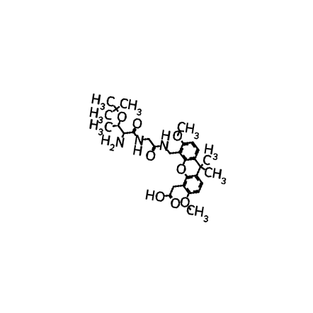 COc1ccc2c(c1CNC(=O)CNC(=O)[C@@H](N)[C@@H](C)OC(C)(C)C)Oc1c(ccc(OC)c1CC(=O)O)C2(C)C